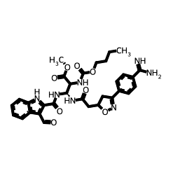 CCCCOC(=O)NC(C(=O)OC)[C@H](NC(=O)CC1CC(c2ccc(C(=N)N)cc2)=NO1)NC(=O)c1[nH]c2ccccc2c1C=O